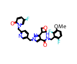 COc1ccc(F)c(CNC(=O)c2cn(Cc3ccc(Cn4cc(F)ccc4=O)nc3)nc2C2COC2)c1F